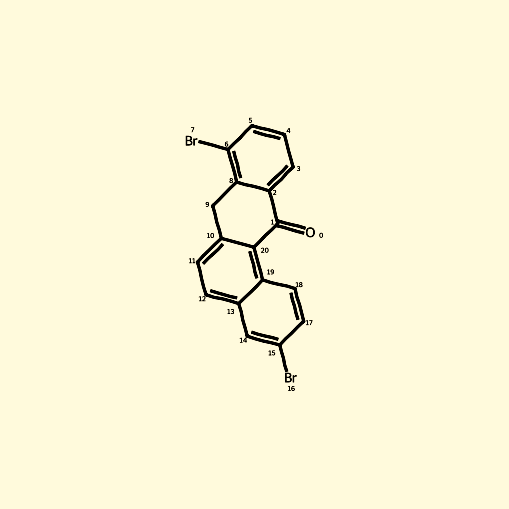 O=C1c2cccc(Br)c2Cc2ccc3cc(Br)ccc3c21